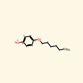 COCCCCCOc1ccc(O)cc1